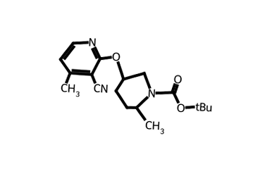 Cc1ccnc(OC2CCC(C)N(C(=O)OC(C)(C)C)C2)c1C#N